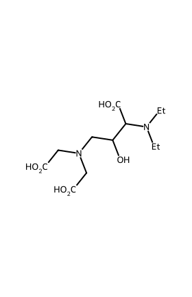 CCN(CC)C(C(=O)O)C(O)CN(CC(=O)O)CC(=O)O